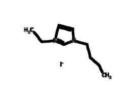 CCCCn1cc[n+](CC)c1.[I-]